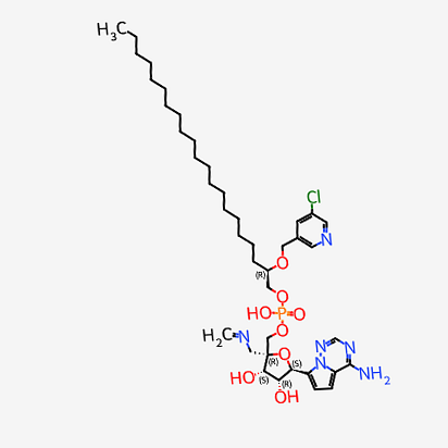 C=NC[C@]1(COP(=O)(O)OC[C@@H](CCCCCCCCCCCCCCCCCCC)OCc2cncc(Cl)c2)O[C@@H](c2ccc3c(N)ncnn23)[C@H](O)[C@@H]1O